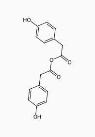 O=C(Cc1ccc(O)cc1)OC(=O)Cc1ccc(O)cc1